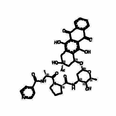 CC(=O)[C@]1(O)Cc2c(O)c3c(c(O)c2[C@@H](O[C@H]2C[C@H](NC(=O)[C@@H]4CCCN4C(=O)[C@@H](C)NC(=O)c4ccncc4)[C@H](O)[C@H](C)O2)C1)C(=O)c1ccccc1C3=O